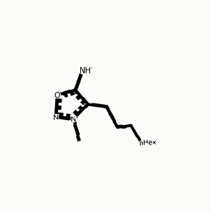 CCCCCCCCCc1c([NH-])on[n+]1C